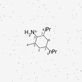 CCCC1CC(C)C(N)C(C(C)C)C1